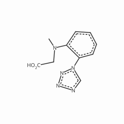 CN(CC(=O)O)c1ccccc1-n1cnnn1